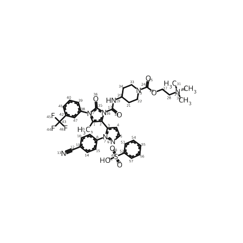 Cc1c(-c2ccnn2-c2ccc(C#N)cc2)n(C(=O)NC2CCN(C(=O)OCC[N+](C)(C)C)CC2)c(=O)n1-c1cccc(C(F)(F)F)c1.O=S(=O)(O)c1ccccc1